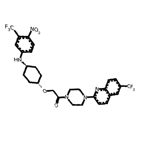 O=C(CO[C@H]1CC[C@H](Nc2ccc([N+](=O)[O-])c(C(F)(F)F)c2)CC1)N1CCN(c2ccc3cc(C(F)(F)F)ccc3n2)CC1